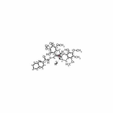 COc1c(C)c(OC)c2c(c1O)C1[C@@H]3Cc4c(OC)c(C)c(OC)c(O)c4[C@H](CCNC(=O)c4ccc5ccccc5n4)N3[C@@H](C#N)C(C2)N1C